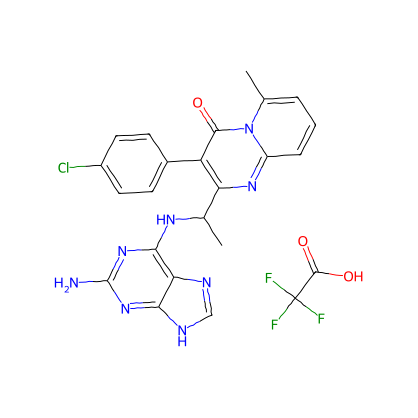 Cc1cccc2nc(C(C)Nc3nc(N)nc4[nH]cnc34)c(-c3ccc(Cl)cc3)c(=O)n12.O=C(O)C(F)(F)F